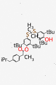 CC(C)Cc1ccc([C@@H](C)C(=O)Oc2c(C(C)(C)C)cc(SC(C)(C)Sc3cc(C(C)(C)C)c(O)c(C(C)(C)C)c3)cc2C(C)(C)C)cc1